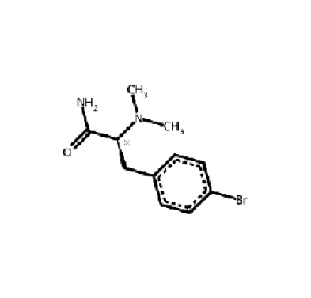 CN(C)[C@@H](Cc1ccc(Br)cc1)C(N)=O